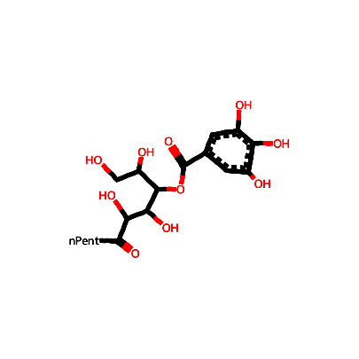 CCCCCC(=O)C(O)C(O)C(OC(=O)c1cc(O)c(O)c(O)c1)C(O)CO